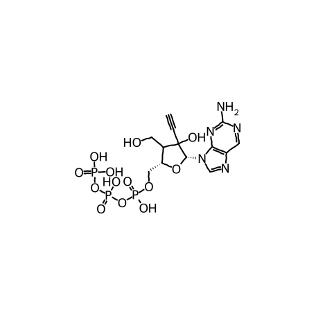 C#CC1(O)C(CO)[C@@H](COP(=O)(O)OP(=O)(O)OP(=O)(O)O)O[C@H]1n1cnc2cnc(N)nc21